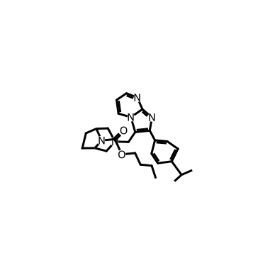 CCCCOC(=O)N1C2CCC1CN(Cc1c(-c3ccc(C(C)C)cc3)nc3ncccn13)C2